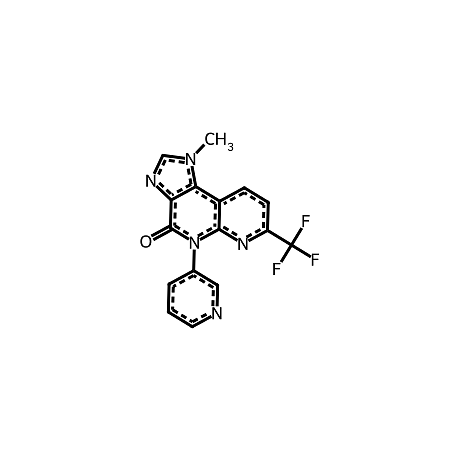 Cn1cnc2c(=O)n(-c3cccnc3)c3nc(C(F)(F)F)ccc3c21